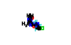 C[C@@H](c1cnc(N2C[C@H]3C[C@H]3C2=O)nc1)n1cc(NC(=O)c2nc(-c3c(C(F)F)ccc(Cl)c3F)cnc2C(F)F)cn1